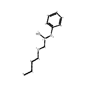 CCCCOCP(O)Oc1ccccc1